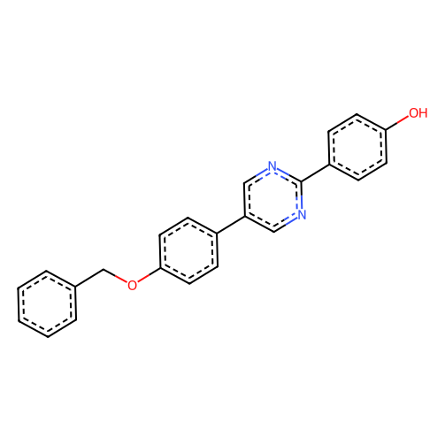 Oc1ccc(-c2ncc(-c3ccc(OCc4ccccc4)cc3)cn2)cc1